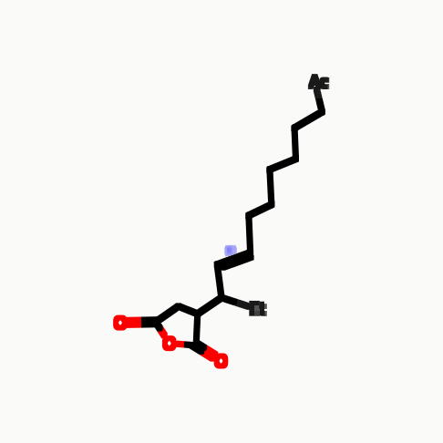 CCC(/C=C/CCCCCCC(C)=O)C1CC(=O)OC1=O